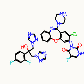 Clc1ccc2c(c1)C(N1CCNCC1)=Nc1ccccc1O2.O=c1[nH]cc(F)c(=O)[nH]1.OC(Cn1cncn1)(Cn1cncn1)c1ccc(F)cc1F